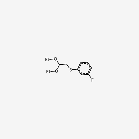 CCOC(CSc1cccc(F)c1)OCC